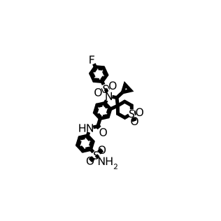 NS(=O)(=O)c1cccc(NC(=O)c2ccc3c(c2)C2(CCS(=O)(=O)CC2)C(C2CC2)N3S(=O)(=O)c2ccc(F)cc2)c1